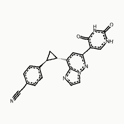 N#Cc1ccc([C@H]2C[C@@H]2c2cc(-c3c[nH]c(=O)[nH]c3=O)nn3ccnc23)cc1